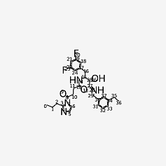 CCCc1nccn1C(=O)CCC(=O)N[C@@H](Cc1cc(F)cc(F)c1)[C@H](O)CNCc1cccc(CC)c1